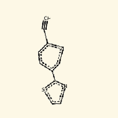 C#Cc1ccc(-c2nccs2)cc1